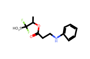 CC(OC(=O)CCNc1ccccc1)C(F)(F)S(=O)(=O)O